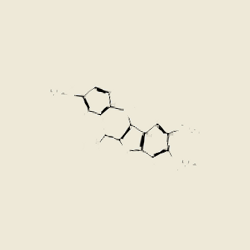 COc1ccc(Oc2c(CO)sc3cc(OC)c(OC)cc23)cc1